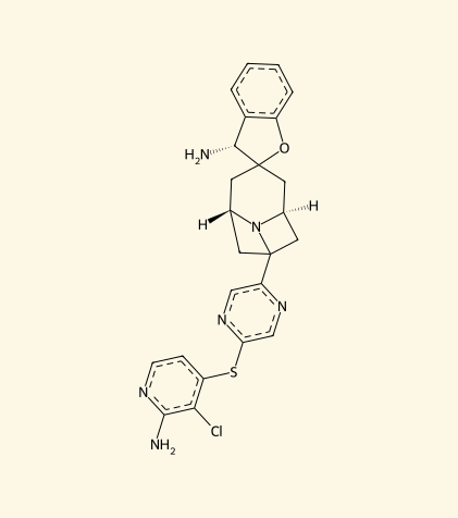 Nc1nccc(Sc2cnc(C34C[C@@H]5CC6(C[C@@H](C3)N54)Oc3ccccc3[C@H]6N)cn2)c1Cl